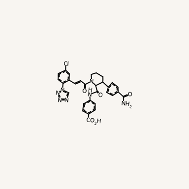 NC(=O)c1ccc(C2CCCN(C(=O)C=Cc3cc(Cl)ccc3-n3cnnn3)C2C(=O)Nc2ccc(C(=O)O)cc2)cc1